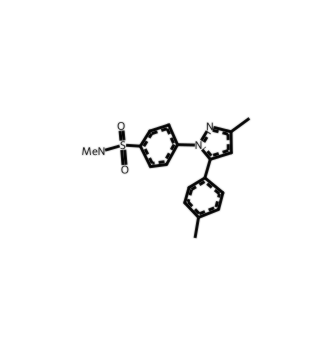 CNS(=O)(=O)c1ccc(-n2nc(C)cc2-c2ccc(C)cc2)cc1